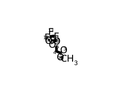 COC(=O)CCOS(=O)(=O)C(F)(F)F